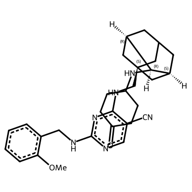 COc1ccccc1CNc1ncc(C#N)c(NC[C@]23CC4C[C@H](C2)[C@H](NC2CCC(=O)CC2)[C@@H](C4)C3)n1